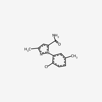 Cc1ccc(Cl)c(-n2nc(C)cc2C(N)=O)c1